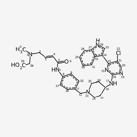 CN(C/C=C/C(=O)Nc1ccc(CN2CCC(Nc3ncc(Cl)c(-c4c[nH]c5ccccc45)n3)CC2)cc1)CC(=O)O